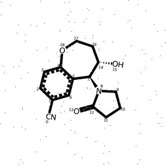 N#Cc1ccc2c(c1)[C@H](N1CCCC1=O)[C@@H](O)CCO2